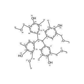 COCc1cc(C(c2cc(C)c(O)c(COC)c2)C(c2cc(C)c(O)c(COC)c2)c2cc(C)c(O)c(COC)c2)cc(C)c1O